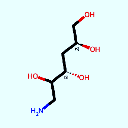 NCC(O)[C@@H](O)C[C@H](O)CO